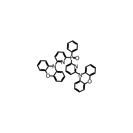 O=P(c1ccccc1)(c1cccc(N2c3ccccc3Oc3ccccc32)n1)c1cccc(N2c3ccccc3Oc3ccccc32)n1